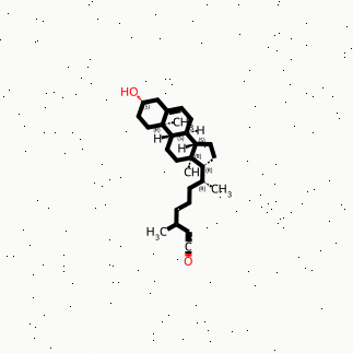 CC(C=C=O)CCC[C@@H](C)[C@H]1CC[C@H]2[C@@H]3CC=C4C[C@@H](O)CC[C@]4(C)[C@H]3CC[C@]12C